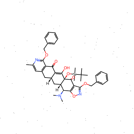 Cc1cc2c(c(OCc3ccccc3)n1)C(=O)C1=C(O)[C@]3(O[Si](C)(C)C(C)(C)C)C(=O)c4c(OCc5ccccc5)noc4[C@@H](N(C)C)[C@@H]3C[C@@H]1C2